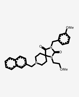 COCCN1C(=O)N(Cc2cccc(OC)c2)C(=O)C12CCN(Cc1ccc3ccccc3c1)CC2